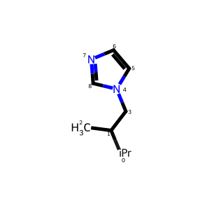 CC(C)C(C)Cn1ccnc1